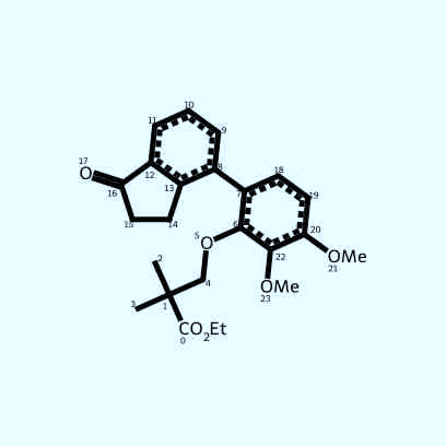 CCOC(=O)C(C)(C)COc1c(-c2cccc3c2CCC3=O)ccc(OC)c1OC